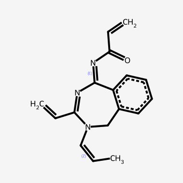 C=CC(=O)/N=C1/N=C(C=C)N(/C=C\C)Cc2ccccc21